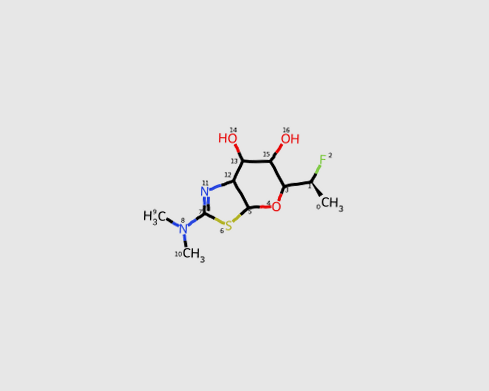 C[C@H](F)C1OC2SC(N(C)C)=NC2C(O)C1O